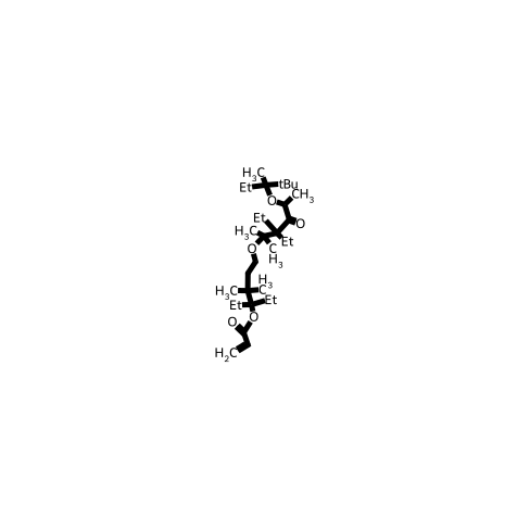 C=CC(=O)OC(CC)(CC)C(C)(C)CCOC(C)(C)C(CC)(CC)C(=O)C(C)OC(C)(CC)C(C)(C)C